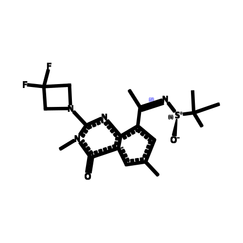 C/C(=N/[S@+]([O-])C(C)(C)C)c1cc(C)cc2c(=O)n(C)c(N3CC(F)(F)C3)nc12